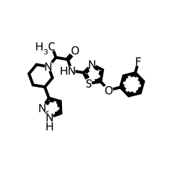 CC(C(=O)Nc1ncc(Oc2cccc(F)c2)s1)N1CCCC(c2cc[nH]n2)C1